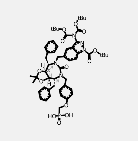 CC(C)(C)OC(=O)N(C(=O)OC(C)(C)C)c1nn(C(=O)OC(C)(C)C)c2ccc(CN3C(=O)N(Cc4ccc(OCP(=O)(O)O)cc4)[C@H](Cc4ccccc4)[C@@H]4OC(C)(C)O[C@H]4[C@H]3Cc3ccccc3)cc12